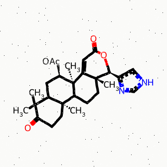 CC(=O)O[C@@H]1CC2C(C)(C)C(=O)CC[C@]2(C)C2CC[C@]3(C)C(=CC(=O)O[C@H]3c3c[nH]cn3)[C@@]21C